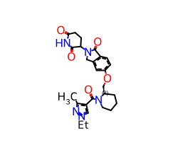 CCn1cc(C(=O)N2CCCC[C@@H]2COc2ccc3c(c2)CN(C2CCC(=O)NC2=O)C3=O)c(C)n1